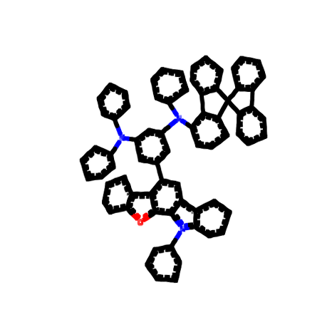 c1ccc(N(c2ccccc2)c2cc(-c3cc4c5ccccc5n(-c5ccccc5)c4c4oc5ccccc5c34)cc(N(c3ccccc3)c3cccc4c3-c3ccccc3C43c4ccccc4-c4ccccc43)c2)cc1